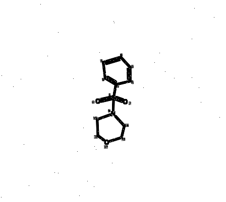 O=S(=O)(c1[c]cccc1)N1CCOCC1